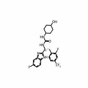 O=C(NC1CCC(O)CC1)N[C@H](Cc1ccc(C(F)(F)F)cc1F)c1nc2cc(F)ccc2[nH]1